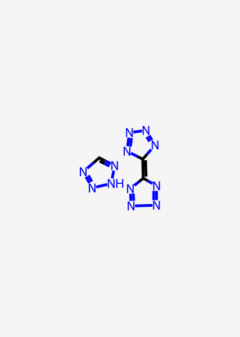 N1=NC(=C2N=NN=N2)N=N1.c1nn[nH]n1